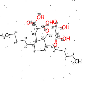 CCCCCCC1CCC(CCCCC)C(CC(C(=O)O)C(=O)O)C1CC(C(=O)O)C(=O)O